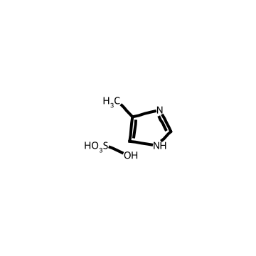 Cc1c[nH]cn1.O=S(=O)(O)O